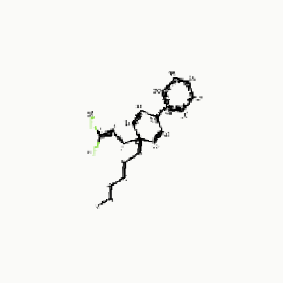 CCCCCCC1(CC=C(F)F)C=CC(c2ccccc2)C=C1